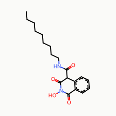 CCCCCCCCCNC(=O)C1C(=O)N(O)C(=O)c2ccccc21